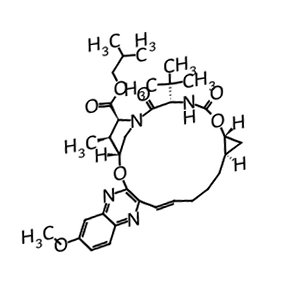 COc1ccc2nc3c(nc2c1)O[C@H]1CN(C(=O)[C@H](C(C)(C)C)NC(=O)O[C@@H]2C[C@H]2CCC/C=C/3)[C@H](C(=O)OCC(C)C)[C@@H]1C